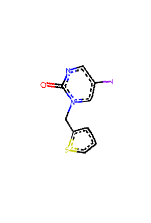 O=c1ncc(I)cn1Cc1cccs1